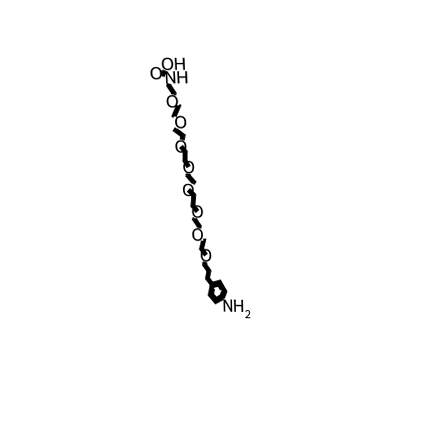 Nc1ccc(CCCOCCOCCOCCOCCOCCOCCOCCOCCNC(=O)O)cc1